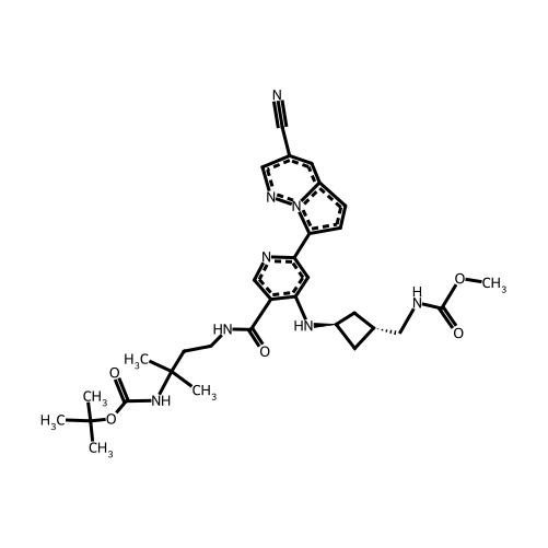 COC(=O)NC[C@H]1C[C@H](Nc2cc(-c3ccc4cc(C#N)cnn34)ncc2C(=O)NCCC(C)(C)NC(=O)OC(C)(C)C)C1